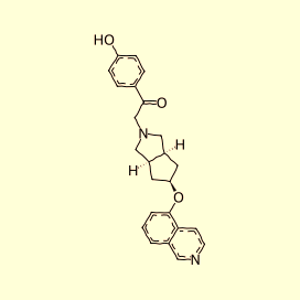 O=C(CN1C[C@H]2C[C@@H](Oc3cccc4cnccc34)C[C@H]2C1)c1ccc(O)cc1